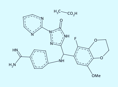 CC(=O)O.COc1cc(C(Nc2ccc(C(=N)N)cc2)c2nn(-c3ncccn3)c(=O)[nH]2)c(F)c2c1OCCO2